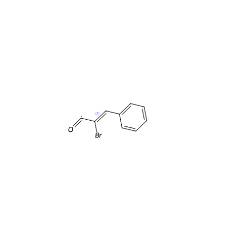 O=[C]/C(Br)=C/c1ccccc1